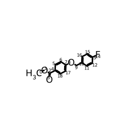 COC(=O)c1ccc(OCc2ccc(F)cc2)cc1